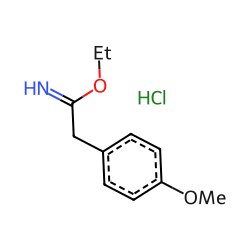 CCOC(=N)Cc1ccc(OC)cc1.Cl